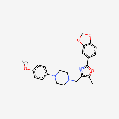 Cc1oc(-c2ccc3c(c2)OCO3)nc1CN1CCN(c2ccc(OC(F)(F)F)cc2)CC1